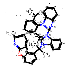 Cc1ccc2c(n1)oc1cccc(C(C)(C)N3c4ccccc4N(c4nc5ccccc5n4-c4c(C(C)C)cccc4C(C)C)[C@H]3C)c12